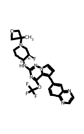 CC1(N2CC[C@H](Nc3nc(OC(F)(F)F)c4c(-c5ccc6nccnc6c5)ccn4n3)[C@H](F)C2)COC1